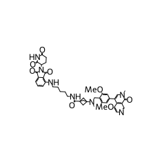 COc1cc(-c2cn(C)c(=O)c3cnccc23)cc(OC)c1CN(C)C12CC(C(=O)NCCCCCNc3cccc4c3C(=O)N(C3CCC(=O)NC3=O)C4=O)(C1)C2